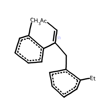 CCc1ccccc1C/C(=C/C(C)=O)c1ccccc1C